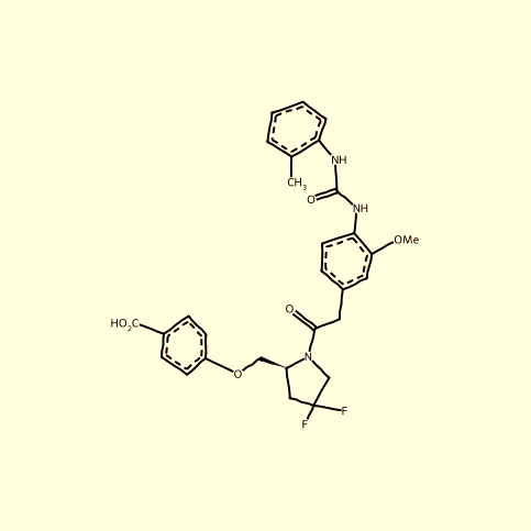 COc1cc(CC(=O)N2CC(F)(F)C[C@H]2COc2ccc(C(=O)O)cc2)ccc1NC(=O)Nc1ccccc1C